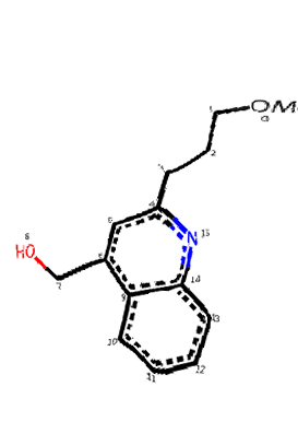 COCCCc1cc(CO)c2ccccc2n1